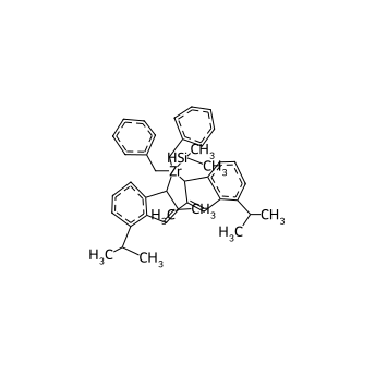 CC1=Cc2c(C(C)C)cccc2[CH]1[Zr]([CH2]c1ccccc1)([CH2]c1ccccc1)([CH]1C(C)=Cc2c(C(C)C)cccc21)[SiH](C)C